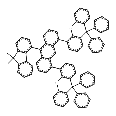 CC1(C)c2ccccc2-c2c(-c3c4cccc(-c5cccc6c5Oc5ccccc5C6(c5ccccc5)c5ccccc5)c4cc4c(-c5cccc6c5Oc5ccccc5C6(c5ccccc5)c5ccccc5)cccc34)cccc21